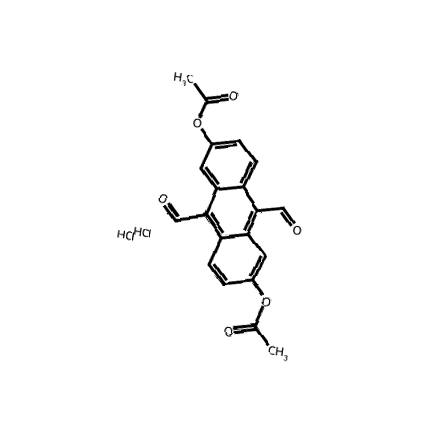 CC(=O)Oc1ccc2c(C=O)c3cc(OC(C)=O)ccc3c(C=O)c2c1.Cl.Cl